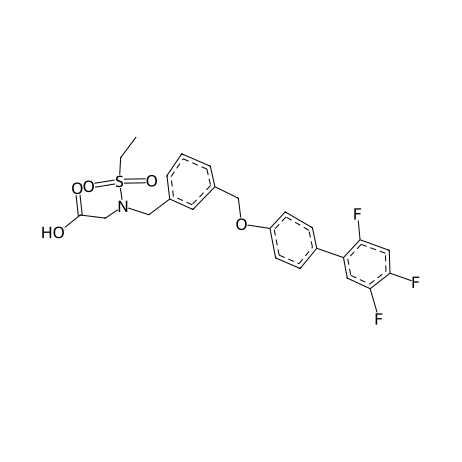 CCS(=O)(=O)N(CC(=O)O)Cc1cccc(COc2ccc(-c3cc(F)c(F)cc3F)cc2)c1